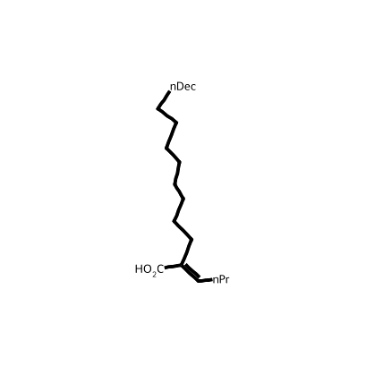 CCCC=C(CCCCCCCCCCCCCCCCCC)C(=O)O